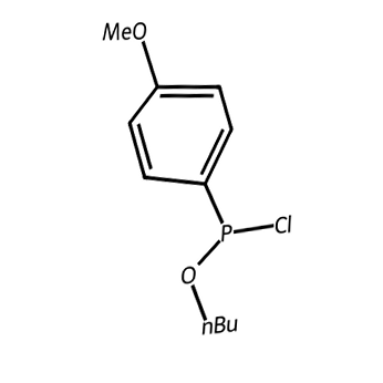 CCCCOP(Cl)c1ccc(OC)cc1